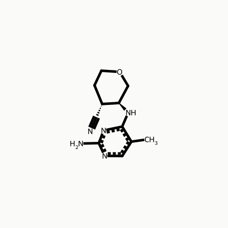 Cc1cnc(N)nc1N[C@@H]1COCC[C@H]1C#N